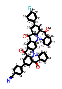 N#Cc1ccc(-c2cc3c(=O)c4ccccc4n4c5cc6c(cc5c(=O)c(c2)c34)c(=O)c2cc(-c3ccc(F)cc3)cc3c(=O)c4ccccc4n6c32)cc1